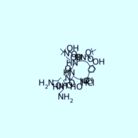 CC(C)(C)OC(=O)N[C@H]1Cc2cc(ccc2O)-c2ccc(O)c(c2)C[C@@H](C(=O)N[C@@H](C[C@@H](O)CN)C(=O)NCCN)NC(=O)[C@H](C[C@@H](O)CN(C(=O)O)C(C)(C)C)NC1=O.Cl.Cl